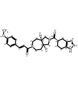 O=C(C=Cc1ccc(OC(F)(F)F)cc1)N1CC[C@@H]2CN(C(=O)[C@@H]3CCc4[nH]nnc4C3)C[C@@H]2CC1